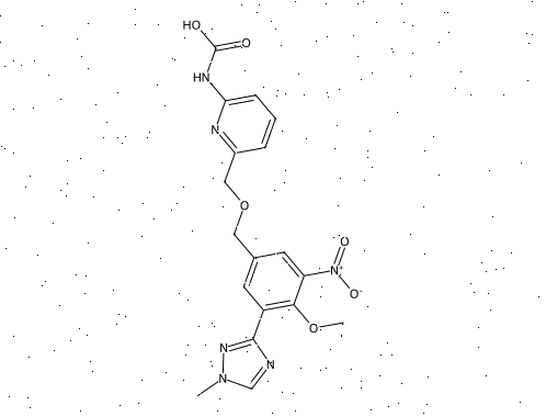 COc1c(-c2ncn(C)n2)cc(COCc2cccc(NC(=O)O)n2)cc1[N+](=O)[O-]